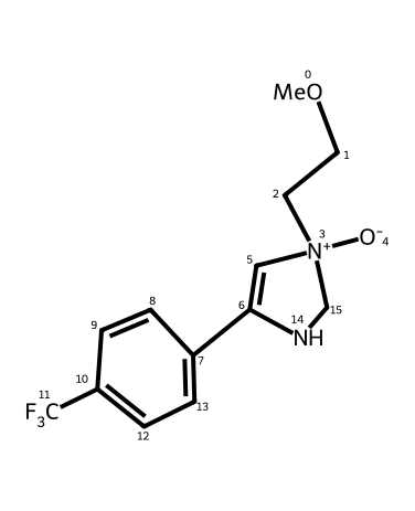 COCC[N+]1([O-])C=C(c2ccc(C(F)(F)F)cc2)NC1